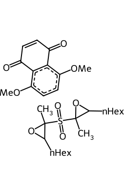 CCCCCCC1OC1(C)S(=O)(=O)C1(C)OC1CCCCCC.COc1ccc(OC)c2c1C(=O)C=CC2=O